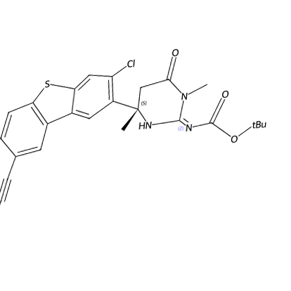 CC#Cc1ccc2sc3cc(Cl)c([C@]4(C)CC(=O)N(C)/C(=N\C(=O)OC(C)(C)C)N4)cc3c2c1